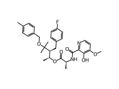 COc1ccnc(C(=O)N[C@@H](C)C(=O)O[C@@H](C)[C@H](Cc2ccc(F)cc2)C(C)(C)OCc2ccc(C)cc2)c1O